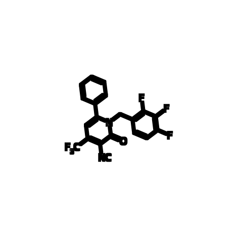 [C-]#[N+]c1c(C(F)(F)F)cc(-c2ccccc2)n(Cc2ccc(F)c(F)c2F)c1=O